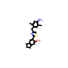 Cc1cc(Cc2csc(-c3cc4c(cc3O)CCC4)n2)c(C)cc1N